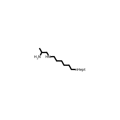 CCCCCCCCCCCCCNCC(C)N